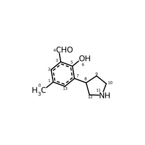 Cc1cc(C=O)c(O)c(C2CCNC2)c1